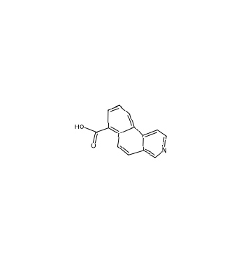 O=C(O)c1cccc2c1ccc1cnccc12